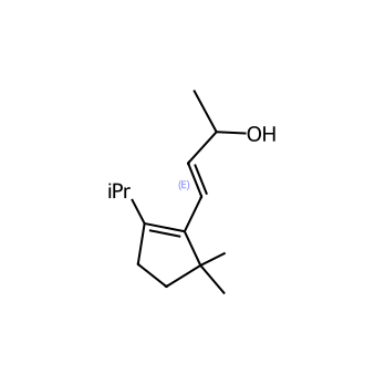 CC(O)/C=C/C1=C(C(C)C)CCC1(C)C